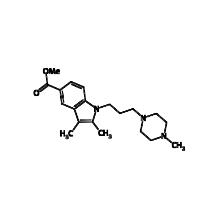 COC(=O)c1ccc2c(c1)c(C)c(C)n2CCCN1CCN(C)CC1